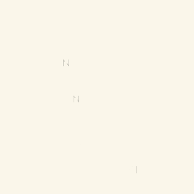 Clc1ccc(Cn2cnc(-c3ccccc3)c2)cc1